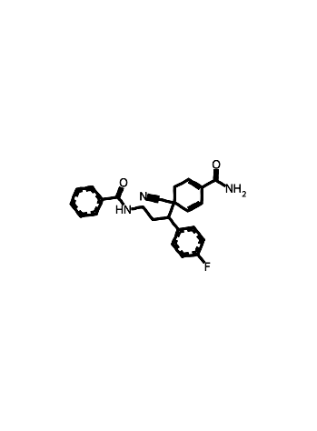 N#CC1(C(CCNC(=O)c2ccccc2)c2ccc(F)cc2)C=CC(C(N)=O)=CC1